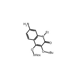 CCCCCCOc1c(OCCCC)c(=O)n(CC)c2cc(N)ccc12